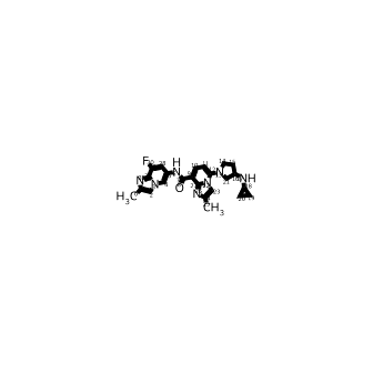 Cc1cn2cc(NC(=O)c3ccc(N4CCC(NC5CC5)C4)n4cc(C)nc34)cc(F)c2n1